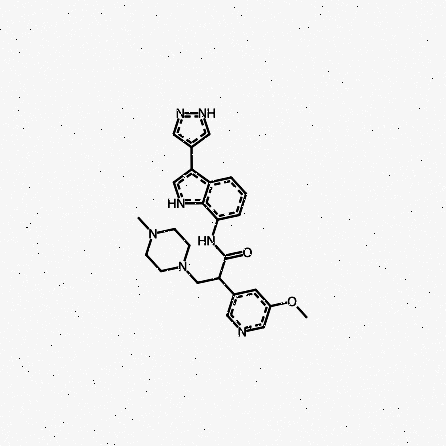 COc1cncc(C(CN2CCN(C)CC2)C(=O)Nc2cccc3c(-c4cn[nH]c4)c[nH]c23)c1